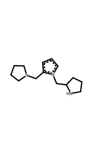 c1cc(CN2CCCC2)n(CC2CCCN2)c1